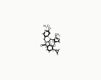 COc1ccc(CN2C(=O)c3ccc(C4CC4)cc3C2Cc2c(Cl)cnn2C)cn1